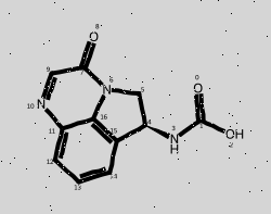 O=C(O)N[C@@H]1Cn2c(=O)cnc3cccc1c32